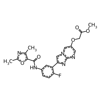 COC(=O)COc1cnc2nc(-c3cc(NC(=O)c4oc(C)nc4C)ccc3F)cn2c1